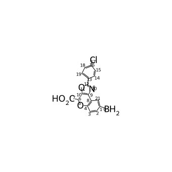 Bc1ccc(OCC(=O)O)c(-c2coc(-c3ccc(Cl)cc3)n2)c1